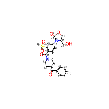 Cc1ccc(C(=O)C2CCN(C(=O)c3ccc(N4C(=O)OC[C@H]4CO)cc3S(C)(=O)=O)CC2)cc1